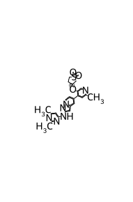 Cc1cc(-c2ccn3nc(Nc4cc(C)nc(C)n4)cc3c2)c(O[C@@H]2CCS(=O)(=O)C2)cn1